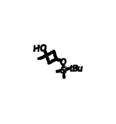 CC1(O)CC(O[Si](C)(C)C(C)(C)C)C1